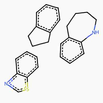 c1ccc2c(c1)CCC2.c1ccc2c(c1)CCCCN2.c1ccc2scnc2c1